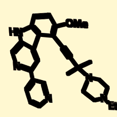 CCN1CCN(C(C)(C)C#Cc2c(OC)ccc3[nH]c4cnc(-c5cccnc5)cc4c23)CC1